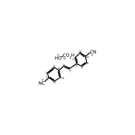 N#Cc1ccc(C=Cc2ccc(C#N)cc2)cc1.O=C(O)O